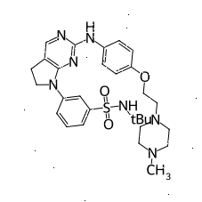 CN1CCN(CCOc2ccc(Nc3ncc4c(n3)N(c3cccc(S(=O)(=O)NC(C)(C)C)c3)CC4)cc2)CC1